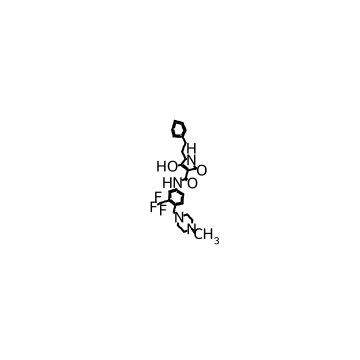 CN1CCN(Cc2ccc(NC(=O)C3=C(O)C(CCc4ccccc4)NC3=O)cc2C(F)(F)F)CC1